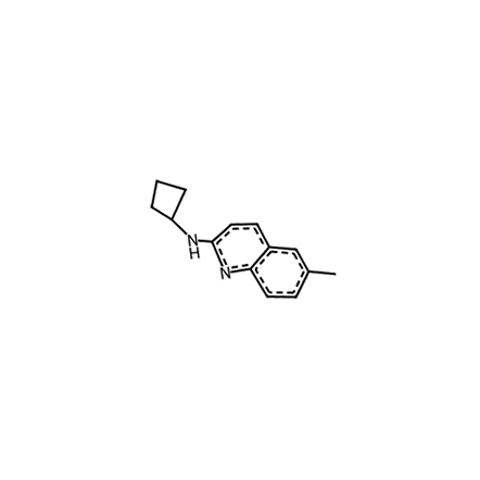 Cc1ccc2nc(NC3CCC3)ccc2c1